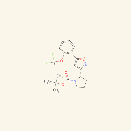 CC(C)(C)OC(=O)N1CCC[C@H]1c1cc(-c2ccccc2OC(F)(F)F)on1